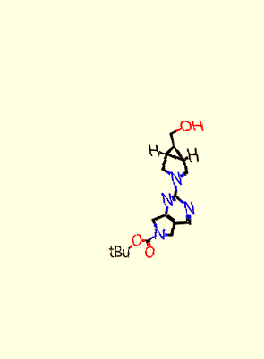 CC(C)(C)OC(=O)N1Cc2cnc(N3C[C@@H]4C(CO)[C@@H]4C3)nc2C1